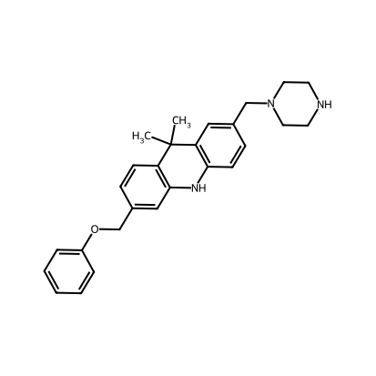 CC1(C)c2ccc(COc3ccccc3)cc2Nc2ccc(CN3CCNCC3)cc21